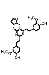 COc1cc(C=Cc2cc(C=Cc3ccc(O)c(OC)c3)n(Cc3ccco3)c(=S)n2)ccc1O